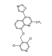 Cc1cc(-c2cncs2)c2cccc(OCc3c(Cl)cncc3Cl)c2n1